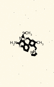 CSc1nc2c(N)nc3ccccc3c2n1Cc1ccc(Cn2cccn2)c(C)c1